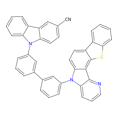 N#Cc1ccc2c(c1)c1ccccc1n2-c1cccc(-c2cccc(-n3c4cccnc4c4c5sc6ccccc6c5ccc43)c2)c1